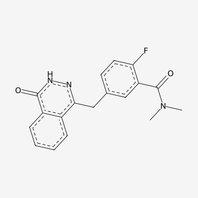 CN(C)C(=O)c1cc(Cc2n[nH]c(=O)c3ccccc23)ccc1F